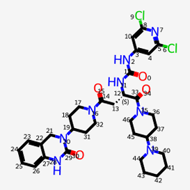 O=C(Nc1cc(Cl)nc(Cl)c1)N[C@@H](CC(=O)N1CCC(N2Cc3ccccc3NC2=O)CC1)C(=O)N1CCC(N2CCCCC2)CC1